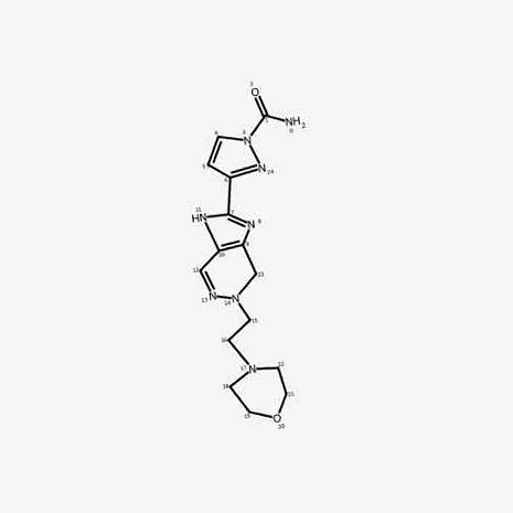 NC(=O)n1c[c]c(-c2nc3c([nH]2)C=NN(CCN2CCOCC2)C3)n1